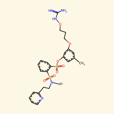 CCCN(CCc1ccccn1)S(=O)(=O)c1ccccc1S(=O)(=O)Oc1cc(C)cc(OCCCONC(=N)N)c1